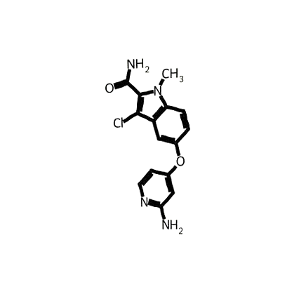 Cn1c(C(N)=O)c(Cl)c2cc(Oc3ccnc(N)c3)ccc21